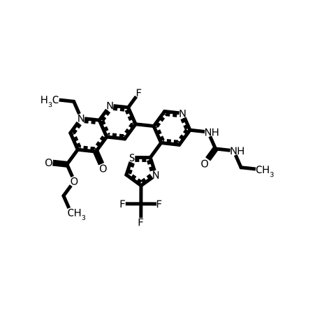 CCNC(=O)Nc1cc(-c2nc(C(F)(F)F)cs2)c(-c2cc3c(=O)c(C(=O)OCC)cn(CC)c3nc2F)cn1